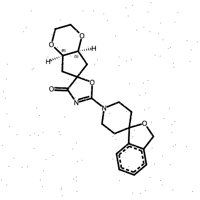 O=C1N=C(N2CCC3(CC2)OCc2ccccc23)OC12C[C@@H]1OCCO[C@@H]1C2